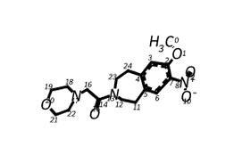 COc1cc2c(cc1[N+](=O)[O-])CCN(C(=O)CN1CCOCC1)CC2